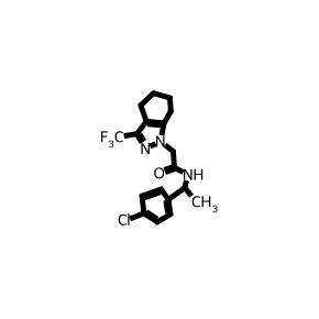 CC(NC(=O)Cn1nc(C(F)(F)F)c2c1CCCC2)c1ccc(Cl)cc1